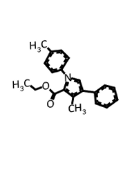 CCOC(=O)c1c(C)c(-c2ccccc2)cn1-c1ccc(C)cc1